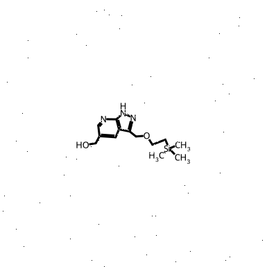 C[Si](C)(C)CCOCc1n[nH]c2ncc(CO)cc12